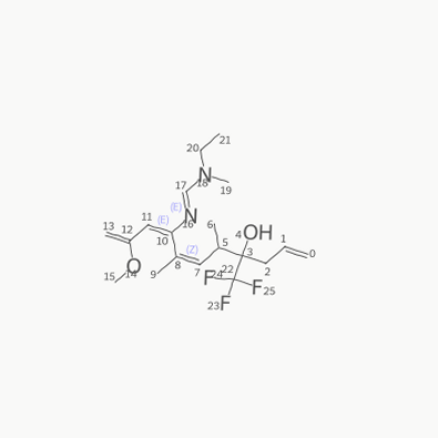 C=CCC(O)(C(C)\C=C(C)/C(=C\C(=C)OC)/N=C/N(C)CC)C(F)(F)F